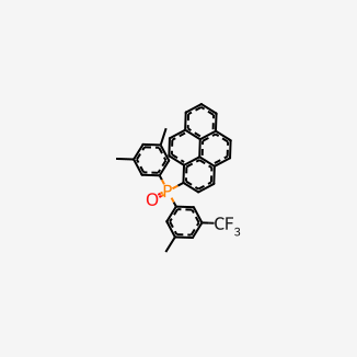 Cc1cc(C)cc(P(=O)(c2cc(C)cc(C(F)(F)F)c2)c2ccc3ccc4cccc5ccc2c3c45)c1